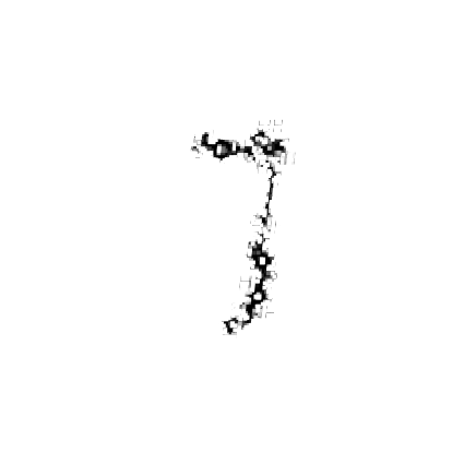 Cc1ncsc1-c1ccc(CNC(=O)[C@@H]2C[C@@H](O)CN2C(=O)[C@@H](NC(=O)CCCCCCCC(=O)NCCn2ncc3cc(C(=O)Nc4ccc5[nH]c(CN6CCC[C@@H]6C)nc5c4)ccc32)C(C)(C)C)cc1